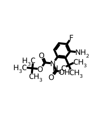 CC(C)(C)OC(=O)N(C(=O)O)c1ccc(F)c(N)c1C(C)(C)C